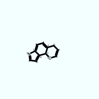 C1=COC2C(=CC=C3N=CC=C32)C1